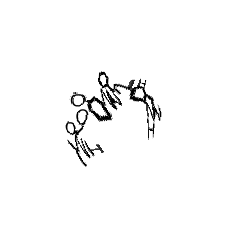 COc1cc(-n2nc(Nc3ccc4[nH]ncc4c3)c3ccccc32)ccc1OCC(=O)NC(C)C